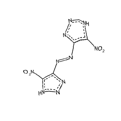 O=[N+]([O-])c1[nH]nnc1N=Nc1nn[nH]c1[N+](=O)[O-]